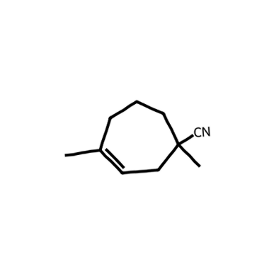 CC1=CCC(C)(C#N)CCC1